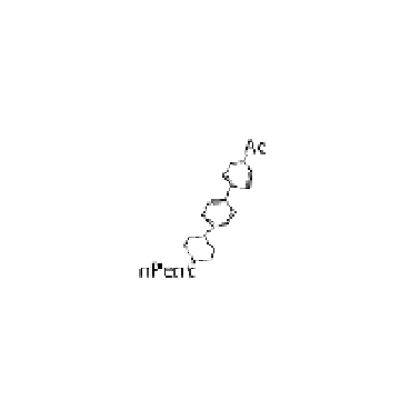 CCCCCC1CCC(c2ccc(-c3ccc(C(C)=O)cc3)cc2)CC1